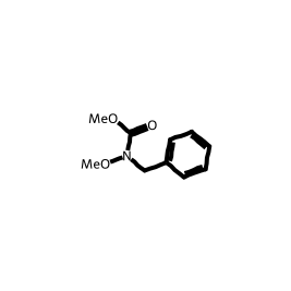 COC(=O)N(Cc1ccccc1)OC